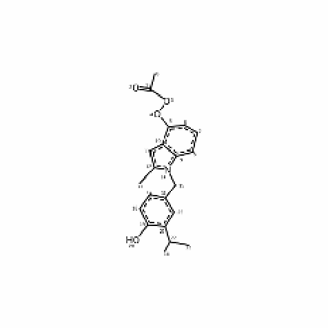 CC(=O)OOc1cccc2c1cc(C)n2Cc1ccc(O)c(C(C)C)c1